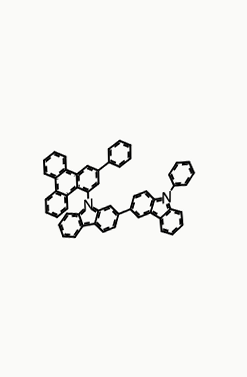 c1ccc(-c2cc(-n3c4ccccc4c4ccc(-c5ccc6c(c5)c5ccccc5n6-c5ccccc5)cc43)c3c4ccccc4c4ccccc4c3c2)cc1